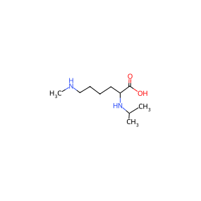 CNCCCCC(NC(C)C)C(=O)O